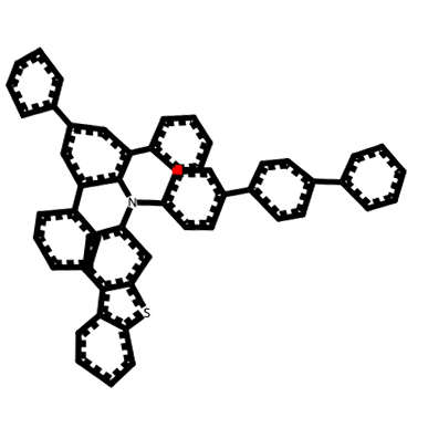 c1ccc(-c2ccc(-c3ccc(N(c4ccc5c(c4)sc4ccccc45)c4c(-c5ccccc5)cc(-c5ccccc5)cc4-c4ccccc4)cc3)cc2)cc1